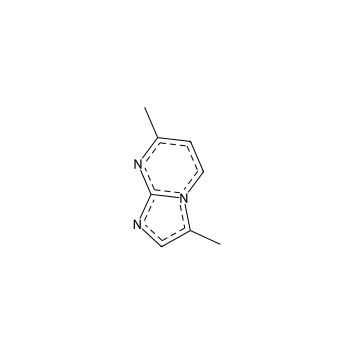 Cc1ccn2c(C)cnc2n1